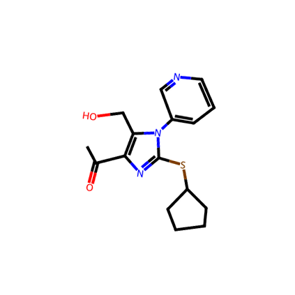 CC(=O)c1nc(SC2CCCC2)n(-c2cccnc2)c1CO